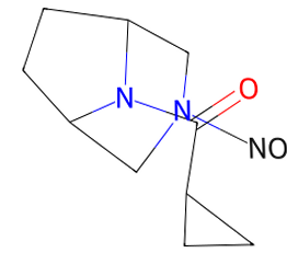 O=NN1CC2CCC(C1)N2C(=O)C1CC1